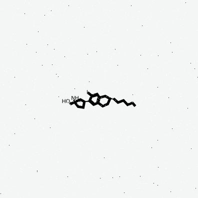 CCCCCC[C@H]1CCc2cc([C@H]3CC[C@](N)(CO)C3)c(I)cc2C1